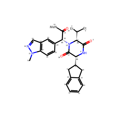 CCC(CC)[C@@H]1C(=O)N[C@H](C2Cc3ccccc3C2)C(=O)N1[C@@H](C(=O)NC)c1ccc2c(cnn2C)c1